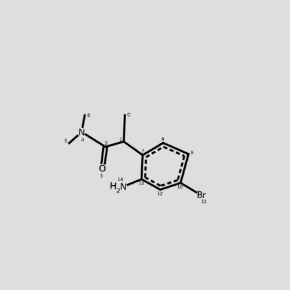 CC(C(=O)N(C)C)c1ccc(Br)cc1N